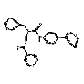 O=C(SCC(Cc1ccccc1)C(=O)Nc1ccc(-c2cccnc2)cc1)c1ccccc1